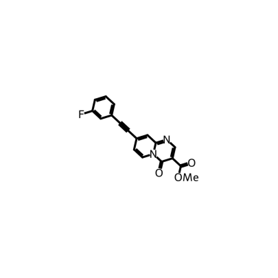 COC(=O)c1cnc2cc(C#Cc3cccc(F)c3)ccn2c1=O